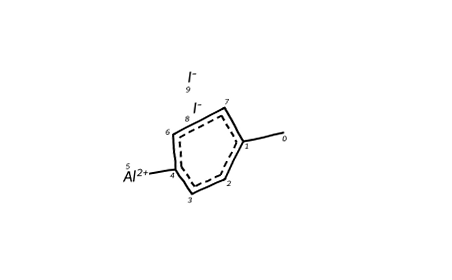 Cc1cc[c]([Al+2])cc1.[I-].[I-]